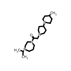 CC1CCN(C2CCN(CC(=O)N3CCCN(C(C)C)CC3)CC2)CC1